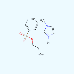 CCCCCCCCCCCCOS(=O)(=O)c1ccccc1.CC[n+]1ccn(C)c1